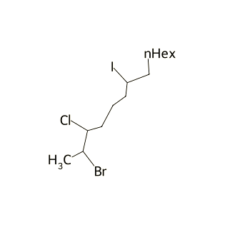 CCCCCCCC(I)CCCC(Cl)C(C)Br